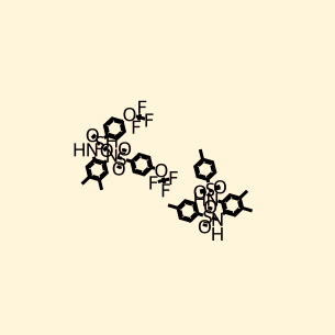 Cc1cc(NS(=O)(=O)c2ccc(OC(F)(F)F)cc2)c(NS(=O)(=O)c2ccc(OC(F)(F)F)cc2)cc1C.Cc1ccc(S(=O)(=O)Nc2cc(C)c(C)cc2NS(=O)(=O)c2ccc(C)cc2)cc1